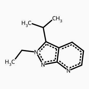 CCn1nc2ncccc2c1C(C)C